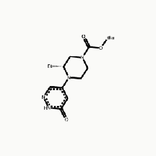 CC[C@@H]1CN(C(=O)OC(C)(C)C)CCN1c1cn[nH]c(=O)c1